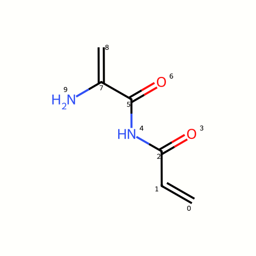 C=CC(=O)NC(=O)C(=C)N